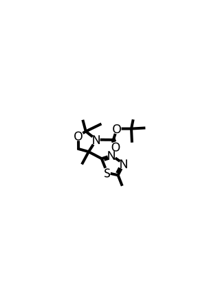 Cc1nnc(C2(C)COC(C)(C)N2C(=O)OC(C)(C)C)s1